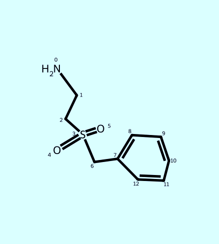 NCCS(=O)(=O)Cc1cc[c]cc1